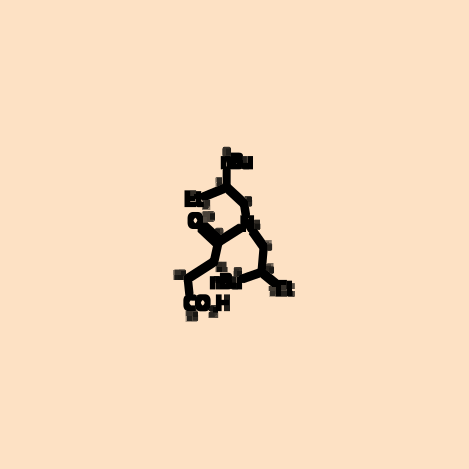 CCCCC(CC)CN(CC(CC)CCCC)C(=O)CCC(=O)O